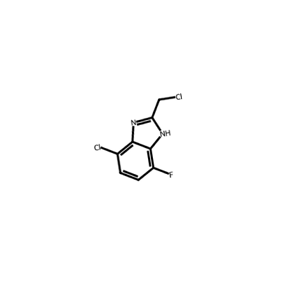 Fc1ccc(Cl)c2nc(CCl)[nH]c12